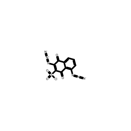 [N-]=[N+]=NC1=C(S(=O)(=O)Cl)C(=O)c2c(N=[N+]=[N-])cccc2C1=O